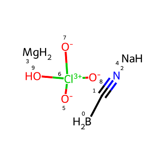 BC#N.[MgH2].[NaH].[O-][Cl+3]([O-])([O-])O